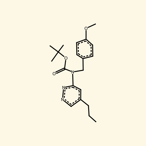 CCCc1cnnc(N(Cc2ccc(OC)cc2)C(=O)OC(C)(C)C)c1